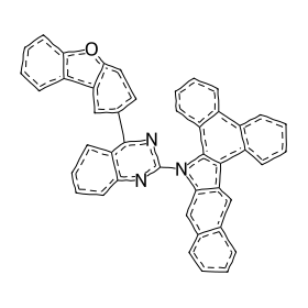 c1ccc2cc3c(cc2c1)c1c2ccccc2c2ccccc2c1n3-c1nc(-c2ccc3oc4ccccc4c3c2)c2ccccc2n1